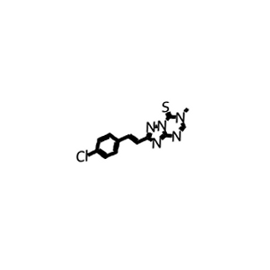 Cn1cnc2nc(C=Cc3ccc(Cl)cc3)nn2c1=S